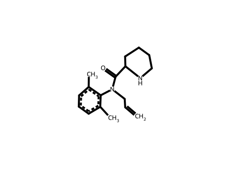 C=CCN(C(=O)C1CCCCN1)c1c(C)cccc1C